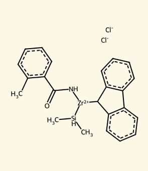 Cc1ccccc1C(=O)[NH][Zr+2]([CH]1c2ccccc2-c2ccccc21)[SiH](C)C.[Cl-].[Cl-]